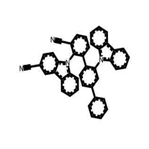 N#Cc1ccc2c(c1)c1ccccc1n2-c1c(C#N)cccc1-c1ccc(-c2ccccc2)cc1-n1c2ccccc2c2ccccc21